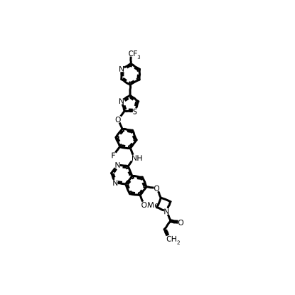 C=CC(=O)N1CC(Oc2cc3c(Nc4ccc(Oc5nc(-c6ccc(C(F)(F)F)nc6)cs5)cc4F)ncnc3cc2OC)C1